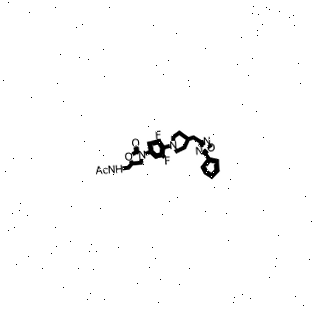 CC(=O)NCC1CN(c2cc(F)c(N3CCC(Cc4noc(-c5ccccc5)n4)CC3)c(F)c2)C(=O)O1